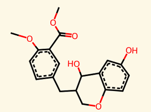 COC(=O)c1cc(CC2COc3ccc(O)cc3C2O)ccc1OC